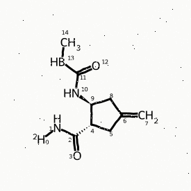 [2H]NC(=O)[C@H]1CC(=C)C[C@@H]1NC(=O)BC